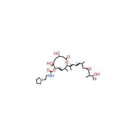 CCC(O)C(C)C1OC1CC(C)/C=C/C=C(\C)C1OC(=O)CC(O)CCC(C)(O)C(OC(=O)NCCN2CCCC2)/C=C/C1C